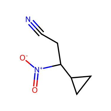 N#CCC(C1CC1)[N+](=O)[O-]